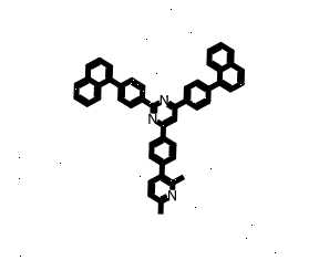 Cc1ccc(-c2ccc(-c3cc(-c4ccc(-c5cccc6ccccc56)cc4)nc(-c4ccc(-c5cccc6ccccc56)cc4)n3)cc2)c(C)n1